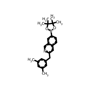 Cc1cc(C)cc(Cc2cc3ccc(B4OC(C)(C)C(C)(C)O4)cc3cn2)c1